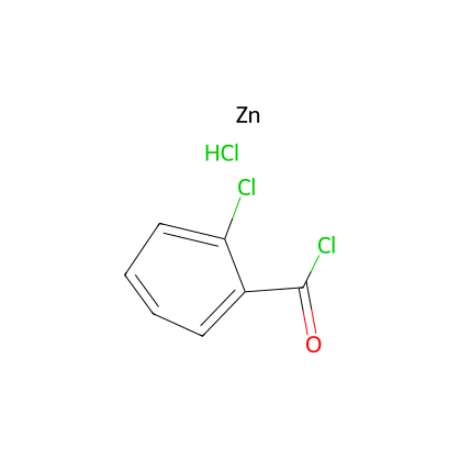 Cl.O=C(Cl)c1ccccc1Cl.[Zn]